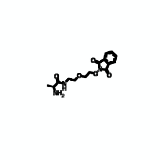 C[C@H](N)C(=O)NCCOCCON1C(=O)c2ccccc2C1=O